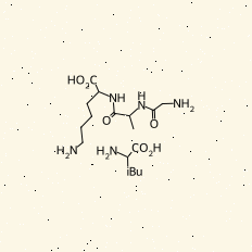 CC(NC(=O)CN)C(=O)NC(CCCCN)C(=O)O.CCC(C)C(N)C(=O)O